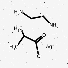 CC(C)C(=O)[O-].NCCN.[Ag+]